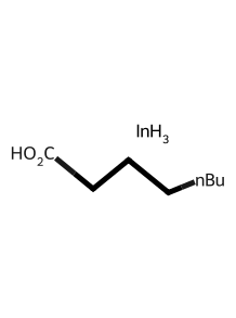 CCCCCCCC(=O)O.[InH3]